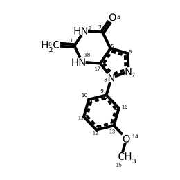 C=C1NC(=O)c2cnn(-c3cccc(OC)c3)c2N1